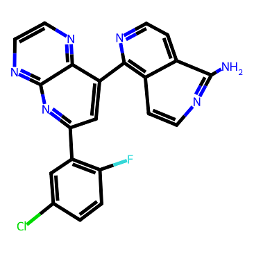 Nc1nccc2c(-c3cc(-c4cc(Cl)ccc4F)nc4nccnc34)nccc12